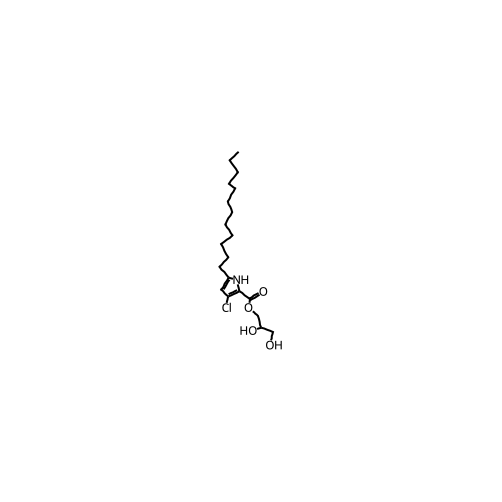 CCCCCCCCCCCCc1cc(Cl)c(C(=O)OCC(O)CO)[nH]1